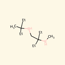 CBC(CC)(CC)CBC(C)(CC)CC